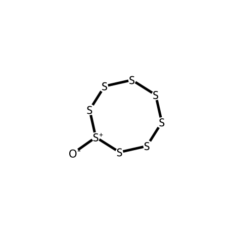 [O-][S+]1SSSSSSS1